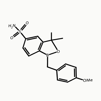 COc1ccc(CB2OC(C)(C)c3cc(S(N)(=O)=O)ccc32)cc1